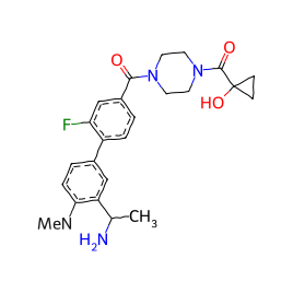 CNc1ccc(-c2ccc(C(=O)N3CCN(C(=O)C4(O)CC4)CC3)cc2F)cc1C(C)N